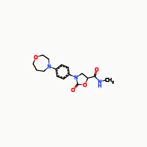 CNC(=O)C1CN(c2ccc(N3CCCOCC3)cc2)C(=O)O1